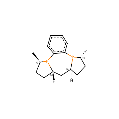 C[C@@H]1CC[C@H]2C[C@@H]3CC[C@@H](C)P3c3ccccc3P21